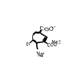 CCc1cc(C(=O)[O-])cc(C(=O)[O-])c1C.[Na+].[Na+]